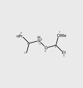 CCCC(C)[SiH2]OC(CC)OC